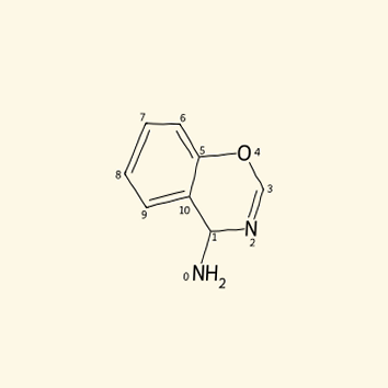 NC1N=COc2ccccc21